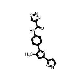 Cc1cc(-c2ccno2)sc1-c1ccc(NC(=O)c2csnn2)cc1